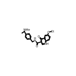 CCOc1ccc2[nH]cc(C(=O)NCc3ccc(C(C)NC)cc3)c(=O)c2c1